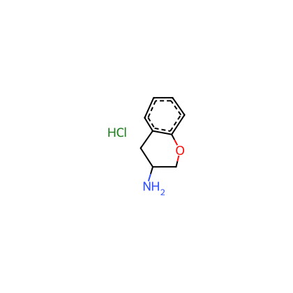 Cl.NC1COc2ccccc2C1